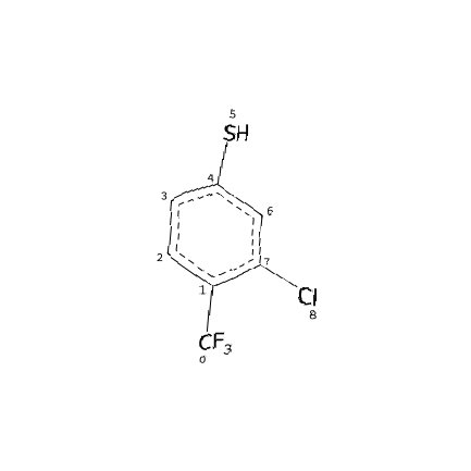 FC(F)(F)c1ccc(S)cc1Cl